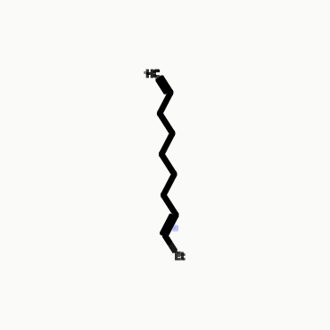 [CH]=CCCCCC/C=C/CC